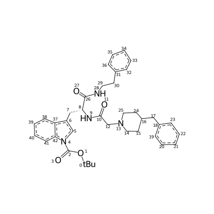 CC(C)(C)OC(=O)n1cc(C[C@@H](NC(=O)CN2CCC(Cc3ccccc3)CC2)C(=O)NCCc2ccccc2)c2ccccc21